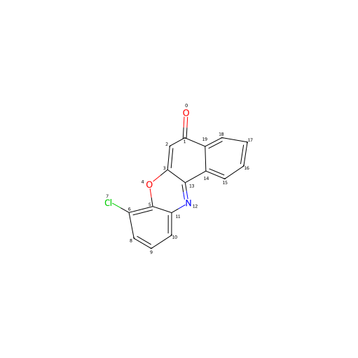 O=c1cc2oc3c(Cl)cccc3nc-2c2ccccc12